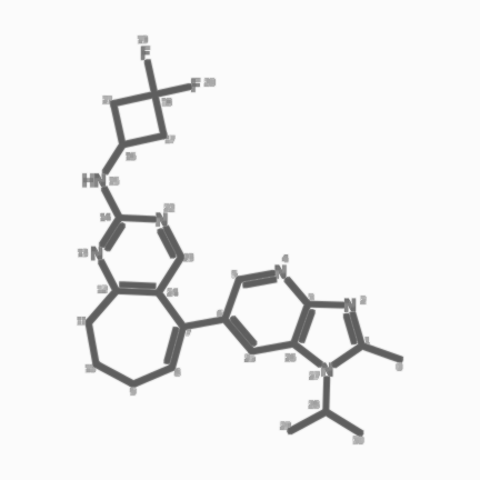 Cc1nc2ncc(C3=CCCCc4nc(NC5CC(F)(F)C5)ncc43)cc2n1C(C)C